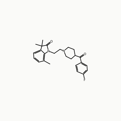 Cc1cccc2c1N(CCN1CCC(C(=O)c3ccc(F)cc3)CC1)C(=O)C2(C)C